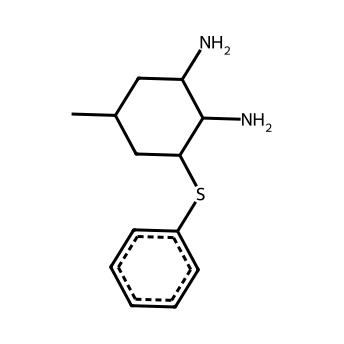 CC1CC(N)C(N)C(Sc2ccccc2)C1